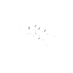 CCOCC(=O)C[C](=O)[Zr]([O]C(C)CC)([C](=O)CC(=O)COCC)[C](=O)CC(=O)COCC